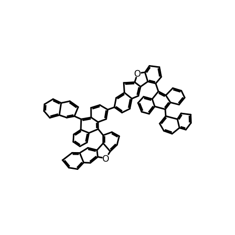 c1ccc2cc(-c3c4ccccc4c(-c4cccc5oc6cc7ccccc7cc6c45)c4cc(-c5ccc6cc7c(cc6c5)oc5cccc(-c6c8ccccc8c(-c8cccc9ccccc89)c8ccccc68)c57)ccc34)ccc2c1